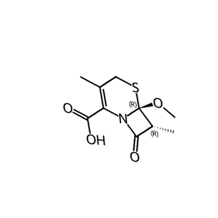 CO[C@]12SCC(C)=C(C(=O)O)N1C(=O)[C@H]2C